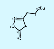 CC(C)(C)CCC1=NOC(=O)C1